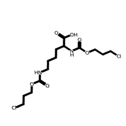 O=C(NCCCCC(NC(=O)OCCCCl)C(=O)O)OCCCCl